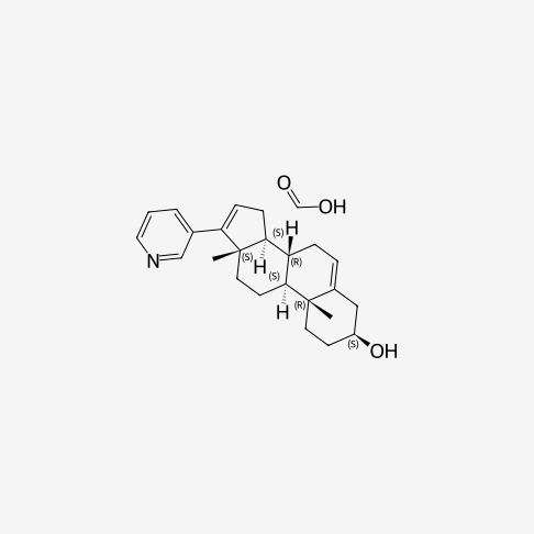 C[C@]12CC[C@H](O)CC1=CC[C@@H]1[C@@H]2CC[C@]2(C)C(c3cccnc3)=CC[C@@H]12.O=CO